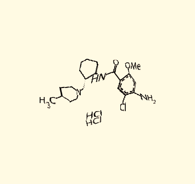 COc1cc(N)c(Cl)cc1C(=O)N[C@@H]1CCCC[C@H]1CN1CCC(C)CC1.Cl.Cl